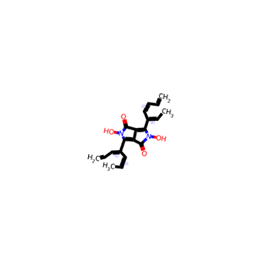 C=C/C=C\C(=C/C)C1=C2C(=O)N(O)C(C(/C=C\C)=C/C=C)=C2C(=O)N1O